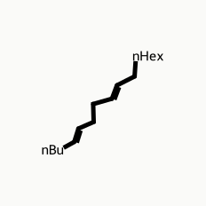 [CH2]CCCCCCC=CCCC=CCCCC